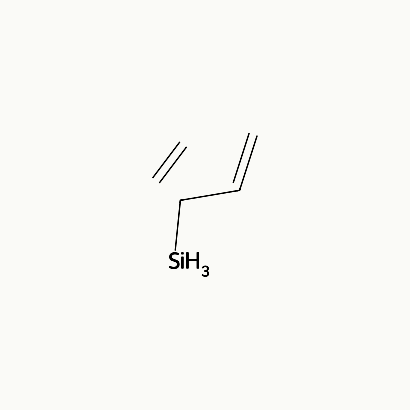 C=C.C=CC[SiH3]